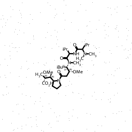 CC[C@H](C)[C@@H]([C@@H](CC(=O)N1CCCC1[C@H](OC)[C@@H](C)C(=O)O)OC)N(C)C(=O)C(NC(=O)C(C(C)C)N(C)C)C(C)C